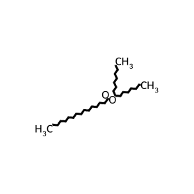 CCCCCCCCCCCCCCCC(=O)OC(CCCCCCC)CCCCCCCC